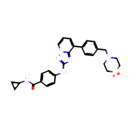 O=C(NC1CC1)c1ccc(Nc2nc3c(-c4ccc(CN5CCS(=O)(=O)CC5)cc4)cccn3n2)cc1